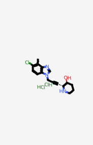 Cc1c(Cl)ccc2c1ncn2CC#C[C@H]1NCCC[C@@H]1O.Cl.Cl